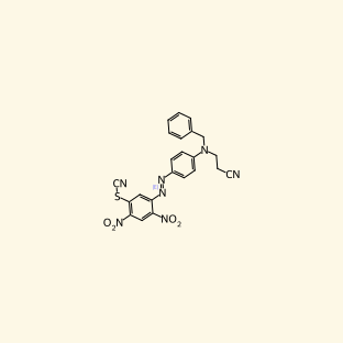 N#CCCN(Cc1ccccc1)c1ccc(/N=N/c2cc(SC#N)c([N+](=O)[O-])cc2[N+](=O)[O-])cc1